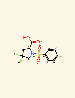 O=C(O)[C@@H]1CC(F)(F)CN1S(=O)(=O)c1ccccc1